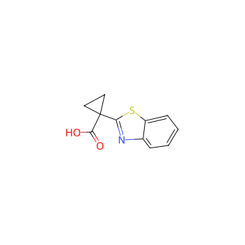 O=C(O)C1(c2nc3ccccc3s2)CC1